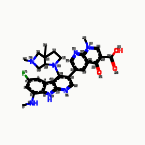 CNc1cc(F)cc2c1[nH]c1ncc(-c3cnc4c(c3)c(=O)c(C(=O)O)cn4C)c(N3CCC4(C)CN(C)CC34)c12